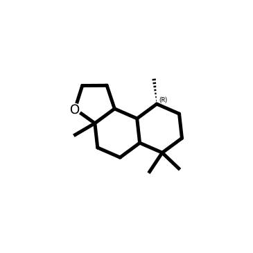 C[C@@H]1CCC(C)(C)C2CCC3(C)OCCC3C21